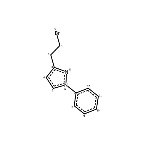 BrCCc1ccn(-c2ccccc2)n1